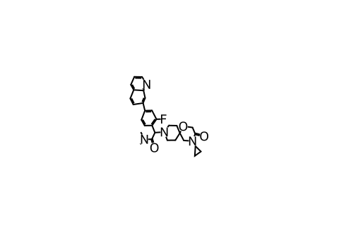 CN(C)C(=O)C(c1ccc(-c2ccc3cccnc3c2)cc1F)N1CCC2(CC1)CN(C1CC1)C(=O)CO2